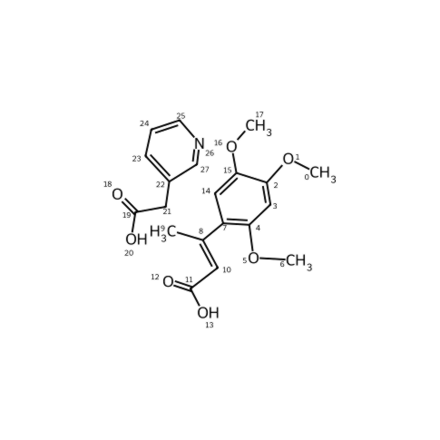 COc1cc(OC)c(C(C)=CC(=O)O)cc1OC.O=C(O)Cc1cccnc1